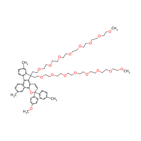 COCCOCCOCCOCCOCCOCCOCCOCCC1(CCOCCOCCOCCOCCOCCOCCOCCOC)c2cc(C)ccc2-c2c1c1c(c3cc(C)ccc23)OC(c2ccc(C)cc2)(c2ccc(OC)cc2)C=C1